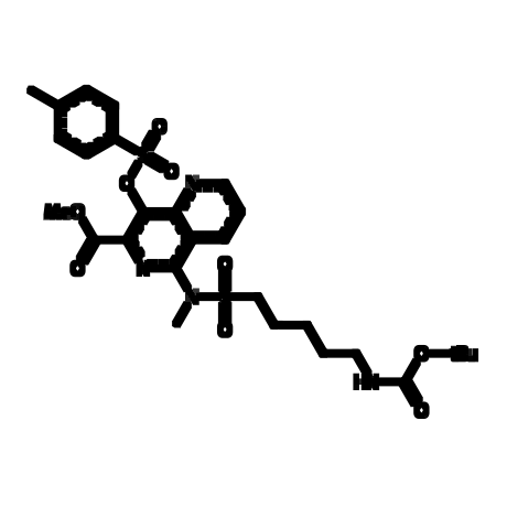 COC(=O)c1nc(N(C)S(=O)(=O)CCCCCNC(=O)OC(C)(C)C)c2cccnc2c1OS(=O)(=O)c1ccc(C)cc1